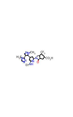 CCNc1cc(-c2c(-c3nncn3C)cnn2C)cc(N2Cc3c(cc(C(=O)O)cc3C(F)(F)F)C2=O)n1